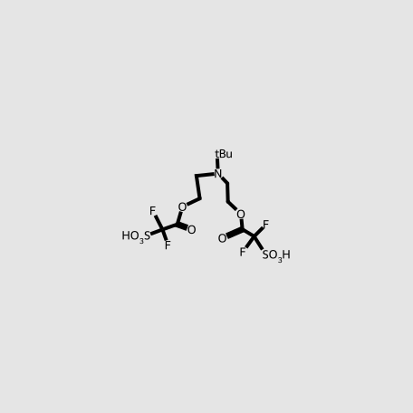 CC(C)(C)N(CCOC(=O)C(F)(F)S(=O)(=O)O)CCOC(=O)C(F)(F)S(=O)(=O)O